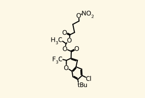 CC(OC(=O)CCCO[N+](=O)[O-])OC(=O)C1=Cc2cc(Cl)c(C(C)(C)C)cc2OC1C(F)(F)F